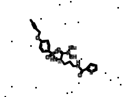 CC#CCOc1ccc(S(=O)(=O)N[C@H](CCCNC(=O)c2cccs2)C(=O)N(O)C(C)(C)C)cc1